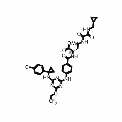 COC(=O)[C@H](CCNC(=O)C(=O)NCC1CC1)NC(=O)c1ccc(Nc2nc(NC3(c4ccc(Cl)cc4)CC3)nc(OCC(F)(F)F)n2)cc1